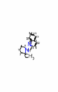 CC1CCCCN1Cc1ccc2ccccc2n1